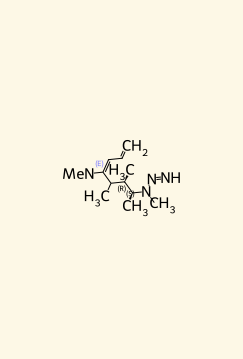 C=C/C=C(/NC)C(C)[C@@H](C)[C@H](C)N(C)N=N